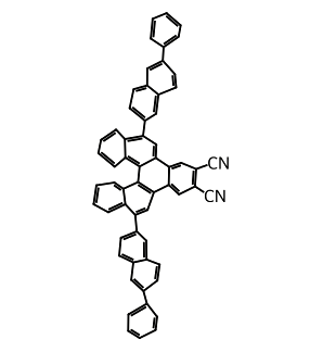 N#Cc1cc2c(cc1C#N)c1cc(-c3ccc4cc(-c5ccccc5)ccc4c3)c3ccccc3c1c1c3ccccc3c(-c3ccc4cc(-c5ccccc5)ccc4c3)cc21